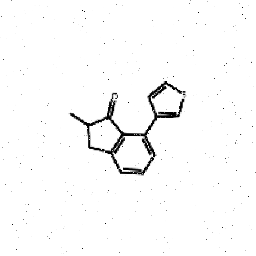 CC1Cc2cccc(-c3ccsc3)c2C1=O